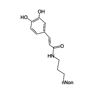 CCCCCCCCCCCCNC(=O)C=Cc1ccc(O)c(O)c1